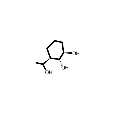 CC(O)[C@H]1CCC[C@@H](O)[C@@H]1O